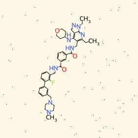 CCc1nc2c(cnn2CC)c(NC2CCOCC2)c1CNC(=O)c1cccc(C(=O)NCc2cccc(-c3cccc(CN4CCN(C)CC4)c3)c2F)c1